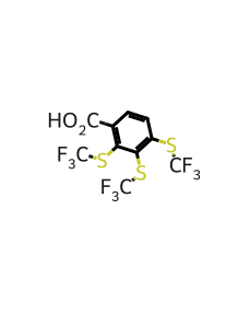 O=C(O)c1ccc(SC(F)(F)F)c(SC(F)(F)F)c1SC(F)(F)F